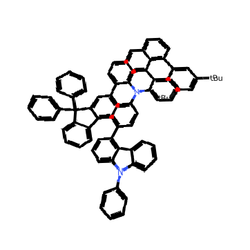 CC(C)(C)c1cc(-c2cccc3cccc(-c4ccccc4N(c4ccc(-c5cccc6c5c5ccccc5n6-c5ccccc5)cc4)c4ccccc4-c4ccc5c(c4)C(c4ccccc4)(c4ccccc4)c4ccccc4-5)c23)cc(C(C)(C)C)c1